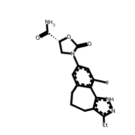 CCc1n[nH]c2c1CCCc1cc(N3C[C@H](C(N)=O)OC3=O)cc(F)c1-2